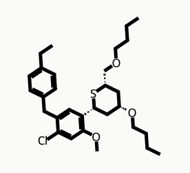 CCCCOC[C@@H]1C[C@H](OCCCC)C[C@H](c2cc(Cc3ccc(CC)cc3)c(Cl)cc2OC)S1